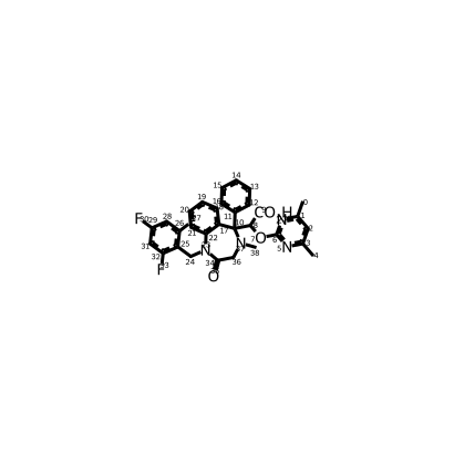 Cc1cc(C)nc(OC(C(=O)O)C2(c3ccccc3)c3ccccc3N(Cc3c(F)cc(F)cc3F)C(=O)CN2C)n1